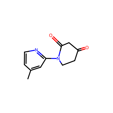 Cc1ccnc(N2CCC(=O)CC2=O)c1